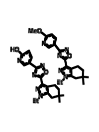 CCn1nc(-c2nc(-c3ccc(O)nc3)no2)c2c1CC(C)(C)CC2.CCn1nc(-c2nc(-c3ccc(OC)nc3)no2)c2c1CC(C)(C)CC2